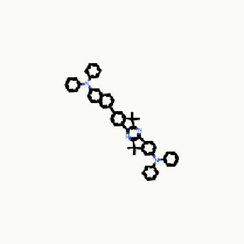 CC1(C)c2cc(-c3ccc4cc(N(c5ccccc5)c5ccccc5)ccc4c3)ccc2-c2nc3c(nc21)-c1ccc(N(c2ccccc2)c2ccccc2)cc1C3(C)C